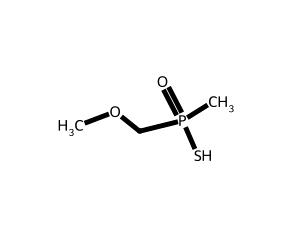 COCP(C)(=O)S